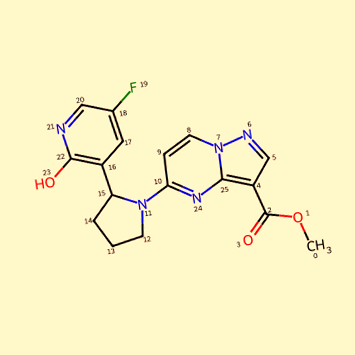 COC(=O)c1cnn2ccc(N3CCCC3c3cc(F)cnc3O)nc12